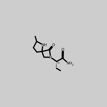 CC[C@@H](C(N)=O)N1CC2(CCC(C)N2)C1=O